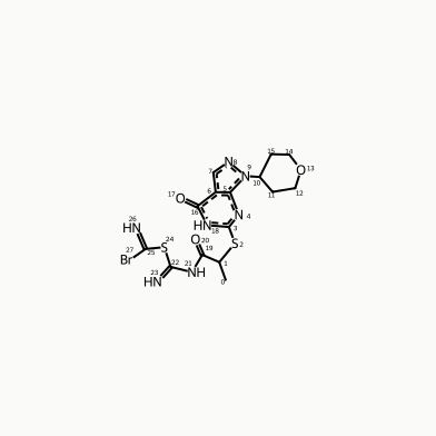 CC(Sc1nc2c(cnn2C2CCOCC2)c(=O)[nH]1)C(=O)NC(=N)SC(=N)Br